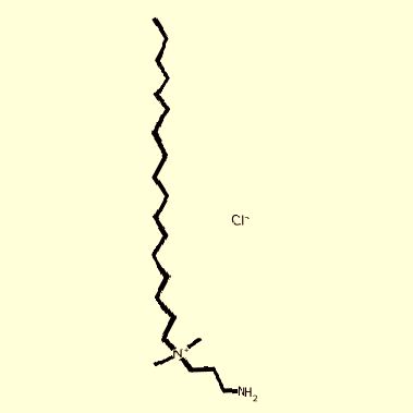 CCCCCCCCCCCCCCCCC[N+](C)(C)CCCN.[Cl-]